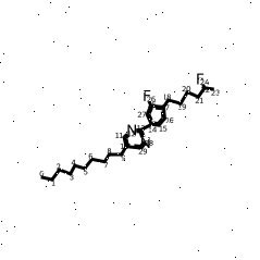 CCCCCCCCCCc1cnc(-c2ccc(CCCCC(C)F)c(F)c2)nc1